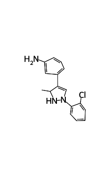 CC1NN(c2ccccc2Cl)C=C1c1cccc(N)c1